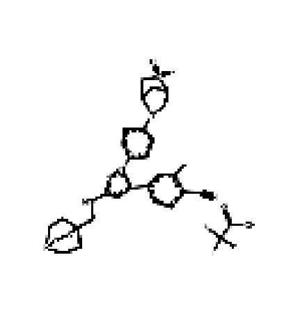 N#Cc1ccc(-c2cc(NCC34CCN(CC3)CC4)nn2-c2ccc(N3CC4CC3CS4(=O)=O)cc2)cc1F.O=C(O)C(F)(F)F